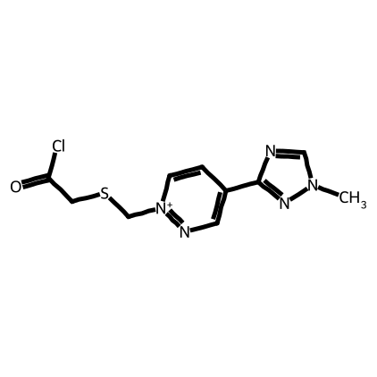 Cn1cnc(-c2cc[n+](CSCC(=O)Cl)nc2)n1